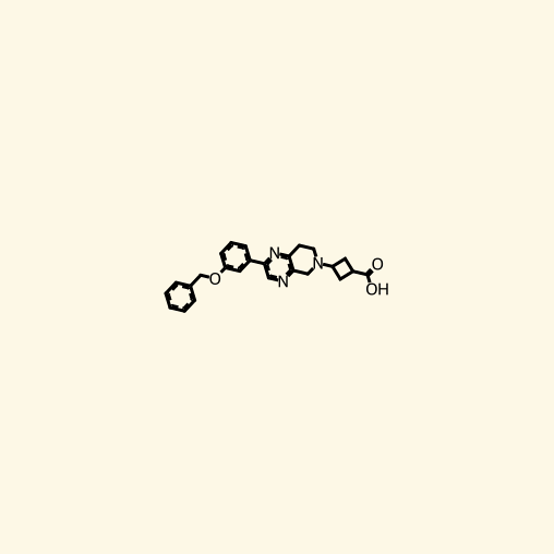 O=C(O)C1CC(N2CCc3nc(-c4cccc(OCc5ccccc5)c4)cnc3C2)C1